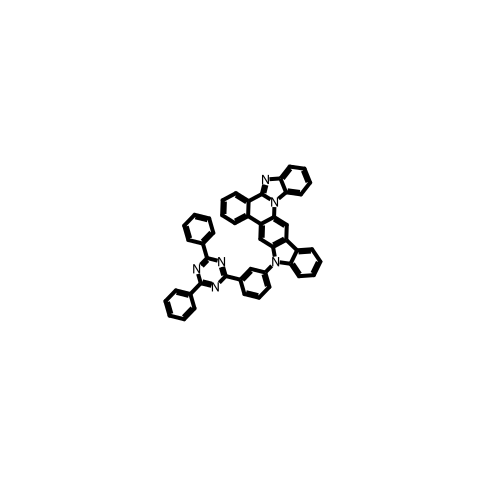 c1ccc(-c2nc(-c3ccccc3)nc(-c3cccc(-n4c5ccccc5c5cc6c(cc54)c4ccccc4c4nc5ccccc5n64)c3)n2)cc1